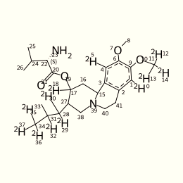 [2H]c1c2c(c([2H])c(OC)c1OC([2H])([2H])[2H])C1CC([2H])(OC(=O)[C@@H](N)C(C)C)C(C([2H])([2H])C([2H])(C)C([2H])([2H])[2H])CN1CC2